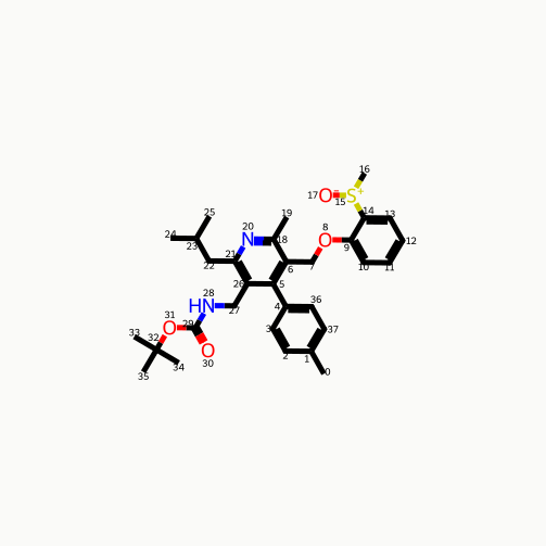 Cc1ccc(-c2c(COc3ccccc3[S+](C)[O-])c(C)nc(CC(C)C)c2CNC(=O)OC(C)(C)C)cc1